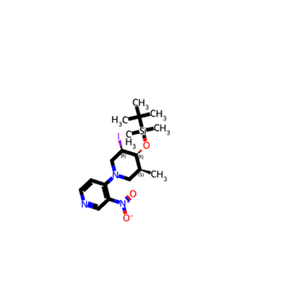 C[C@H]1CN(c2ccncc2[N+](=O)[O-])C[C@@H](I)[C@@H]1O[Si](C)(C)C(C)(C)C